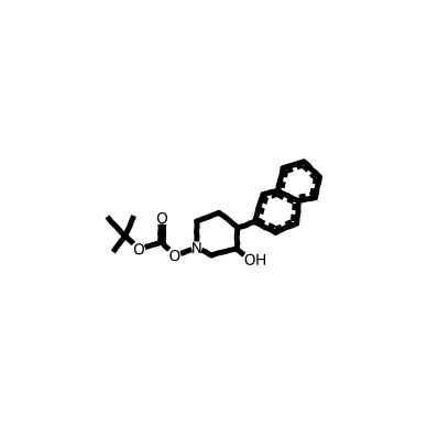 CC(C)(C)OC(=O)ON1CCC(c2ccc3ccccc3c2)C(O)C1